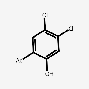 CC(=O)c1cc(O)c(Cl)cc1O